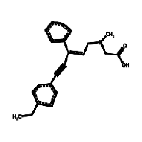 CCc1ccc(C#CC(=CCN(C)CC(=O)O)c2ccccc2)cc1